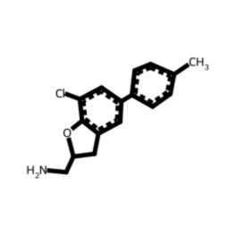 Cc1ccc(-c2cc(Cl)c3c(c2)CC(CN)O3)cc1